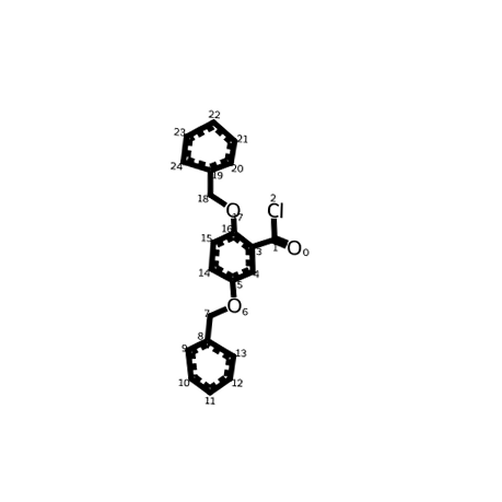 O=C(Cl)c1cc(OCc2ccccc2)ccc1OCc1ccccc1